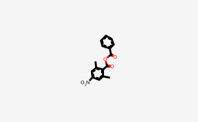 Cc1cc([N+](=O)[O-])cc(C)c1C(=O)OC(=O)c1ccccc1